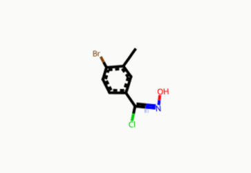 Cc1cc(/C(Cl)=N\O)ccc1Br